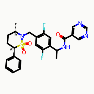 CC(NC(=O)c1cncnc1)c1cc(F)c(CN2[C@@H](C)CC[C@H](c3ccccc3)S2(=O)=O)cc1F